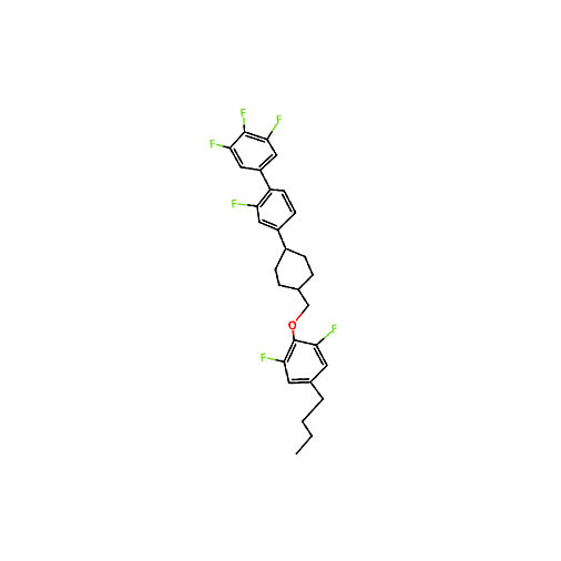 CCCCc1cc(F)c(OCC2CCC(c3ccc(-c4cc(F)c(F)c(F)c4)c(F)c3)CC2)c(F)c1